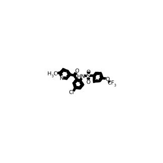 Cc1ccc(C(=O)c2cc(Cl)ccc2NS(=O)(=O)c2ccc(OC(F)(F)F)cc2)cn1